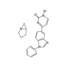 C1CC2CN2C1.CCn1ccc(-c2ccc3c(c2)ncn3-c2ccccc2)nc1=O